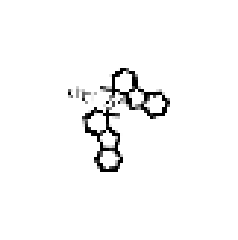 C[C]1([Zr+2][C]2(C)C=CC=C3C2=Cc2ccccc23)C=CC=C2C1=Cc1ccccc12.[Cl-].[Cl-]